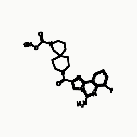 CC(C)(C)OC(=O)N1CCCC2(CCN(C(=O)c3cn4c(N)nc5c(F)cccc5c4n3)CC2)C1